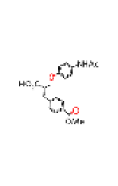 COC(=O)c1ccc(C=C(COc2ccc(NC(C)=O)cc2)C(=O)O)cc1